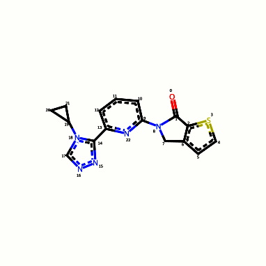 O=C1c2sccc2CN1c1cccc(-c2nncn2C2CC2)n1